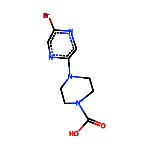 O=C(O)N1CCN(c2cnc(Br)cn2)CC1